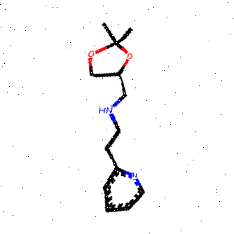 CC1(C)OC[C@H](CNCCc2ccccn2)O1